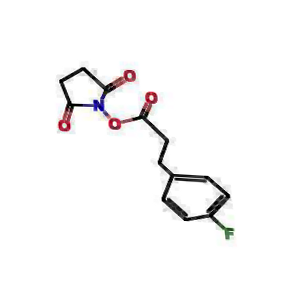 O=C(CCc1ccc(F)cc1)ON1C(=O)CCC1=O